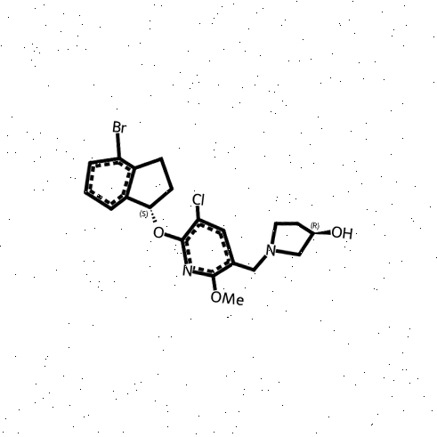 COc1nc(O[C@H]2CCc3c(Br)cccc32)c(Cl)cc1CN1CC[C@@H](O)C1